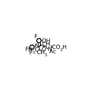 CC(=O)N(CCC1(C)OCC(C)(C)c2c1c1c(O)cc(F)cc1n2-c1ccc(F)c(F)c1)CC(=O)O